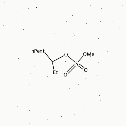 CCCCCC(CC)OS(=O)(=O)OC